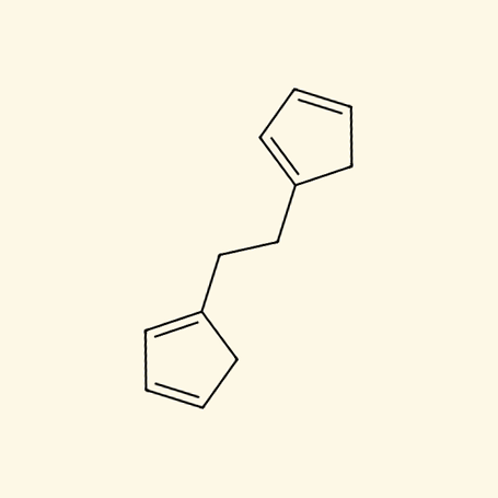 C1=CCC(CCC2=CC=CC2)=C1